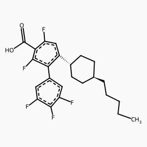 CCCCC[C@H]1CC[C@H](c2cc(F)c(C(=O)O)c(F)c2-c2cc(F)c(F)c(F)c2)CC1